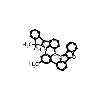 Cc1cc2c3c(c1)-n1c4c(c5cccc(c51)B3n1c3c-2cccc3c2oc3ccccc3c21)-c1ccccc1C4(C)C